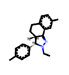 CCN1N=C2c3cc(C)ccc3CC[C@H]2[C@H]1c1ccc(C)cc1